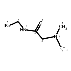 CN(C)CC(=O)NCC(C)(C)C